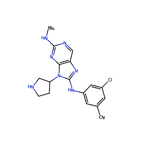 CC(C)(C)Nc1ncc2nc(Nc3cc(Cl)cc(C#N)c3)n(C3CCNC3)c2n1